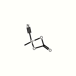 C[N+]1(C#N)OC(=O)O1